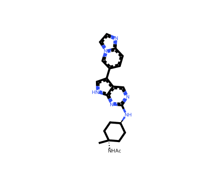 CC(=O)N[C@]1(C)CC[C@@H](Nc2ncc3c(-c4ccc5nccn5c4)c[nH]c3n2)CC1